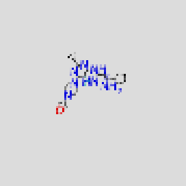 N=C(/C=C(\N)C1CCCC1)Nc1nc(C2CC2)nc(N2CCN(C3COC3)CC2)c1F